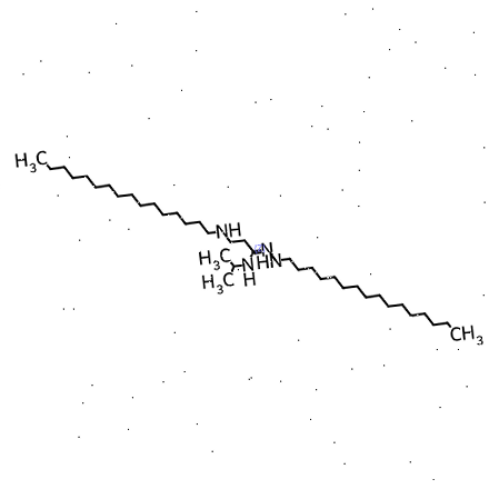 CCCCCCCCCCCCCCCCNCC/C(=N/NCCCCCCCCCCCCCCCC)NC(C)C